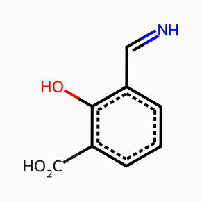 N=Cc1cccc(C(=O)O)c1O